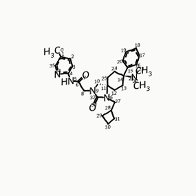 Cc1ccc(NC(=O)CN2C[C@]3(CC[C@](c4ccccc4)(N(C)C)CC3)N(CC3CCC3)C2=O)nc1